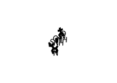 Cc1cnccc1-c1ccsc1NC(=O)Nc1cc(C(C)(C)C)on1